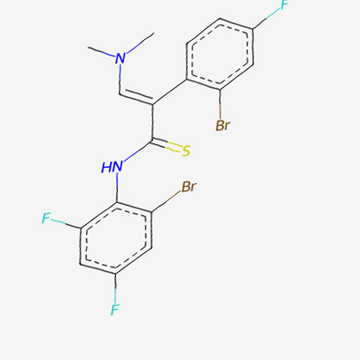 CN(C)C=C(C(=S)Nc1c(F)cc(F)cc1Br)c1ccc(F)cc1Br